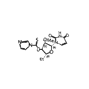 CC[C@H]1O[C@@H](n2ccc(=O)[nH]c2=O)[C@@H](OC)C1OC(=S)n1ccnc1